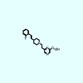 CC(C)(C)Oc1cncc(CCN2CCC(/C=C/c3ccccc3F)CC2)n1